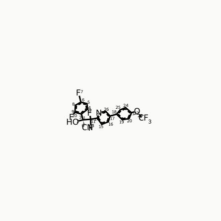 N#C[C@](O)(c1ccc(F)cc1F)C(F)(F)c1ccc(-c2ccc(OC(F)(F)F)cc2)cn1